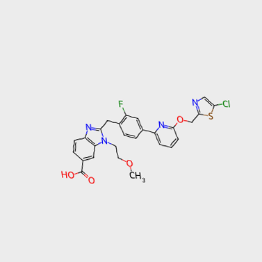 COCCn1c(Cc2ccc(-c3cccc(OCc4ncc(Cl)s4)n3)cc2F)nc2ccc(C(=O)O)cc21